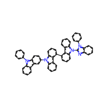 c1ccc(-n2c(-n3c4ccccc4c4c(-c5cccc6c5c5ccccc5n6-c5ccc6c(c5)c5ccccc5n6-c5ccccc5)cccc43)nc3ccccc32)cc1